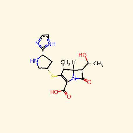 C[C@@H](O)[C@H]1C(=O)N2C(C(=O)O)=C(S[C@@H]3CN[C@H](c4ncc[nH]4)C3)[C@H](C)[C@H]12